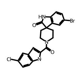 O=C(C1=Cc2cc(Cl)ccc2[N]1)N1CCC2(CC1)C(=O)Nc1ccc(Br)cc12